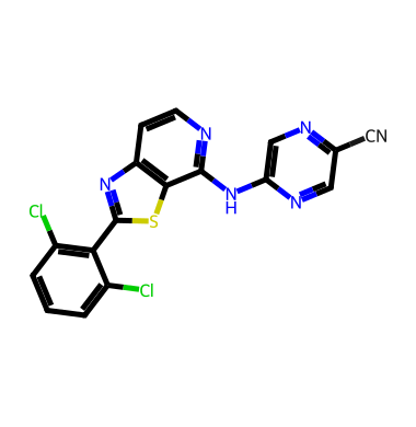 N#Cc1cnc(Nc2nccc3nc(-c4c(Cl)cccc4Cl)sc23)cn1